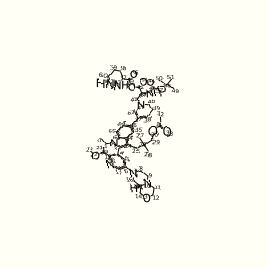 CCn1c(-c2cc(N3CCN4CCOC[C@@H]4C3)cnc2[C@H](C)OC)c(CC(C)(C)COC(C)=O)c2cc(C3=CCCN(C[C@H](NC(=O)OC(C)(C)C)C(=O)OC(=O)C4CCCNN4)C3)ccc21